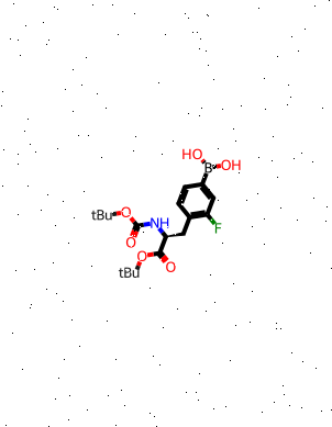 CC(C)(C)OC(=O)N[C@@H](Cc1ccc(B(O)O)cc1F)C(=O)OC(C)(C)C